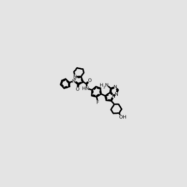 Nc1ncnn2c(C3CCC(O)CC3)cc(-c3ccc(NC(=O)c4c5n(n(-c6ccccc6)c4=O)CCCC5)cc3F)c12